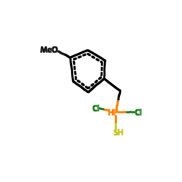 COc1ccc(C[PH](S)(Cl)Cl)cc1